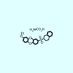 CCOc1ccc(Oc2ccc(S(=O)(=O)N3CCc4ccccc4C3)cc2Cl)cc1.NC(=O)O